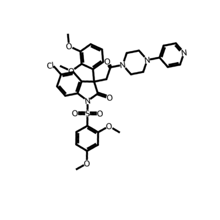 COc1ccc(S(=O)(=O)N2C(=O)C(CC(=O)N3CCN(c4ccncc4)CC3)(c3cccc(OC)c3OC)c3cc(Cl)ccc32)c(OC)c1